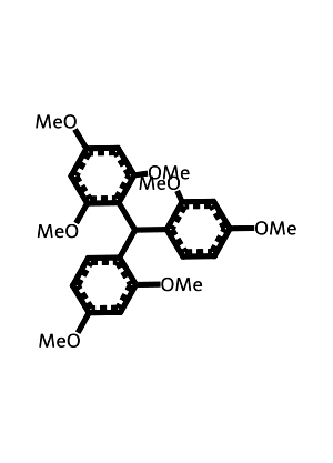 COc1ccc(C(c2ccc(OC)cc2OC)c2c(OC)cc(OC)cc2OC)c(OC)c1